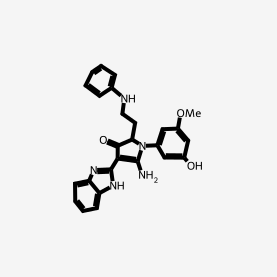 COc1cc(O)cc(N2C(N)=C(c3nc4ccccc4[nH]3)C(=O)C2CCNc2ccccc2)c1